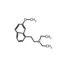 CCN(CC)CCc1cccc2ccc(OC)cc12